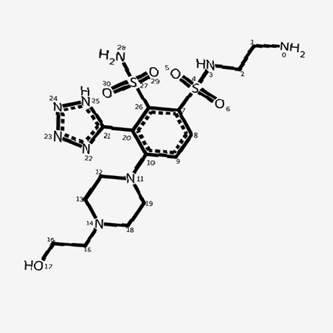 NCCNS(=O)(=O)c1ccc(N2CCN(CCO)CC2)c(-c2nnn[nH]2)c1S(N)(=O)=O